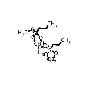 CCC[Si](OC)(OC)OC.CCC[Si](OC)(OC)OC